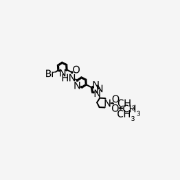 CC(C)(C)OC(=O)N1CCCC(n2cc(-c3ccc(NC(=O)c4cccc(Br)n4)nc3)nn2)C1